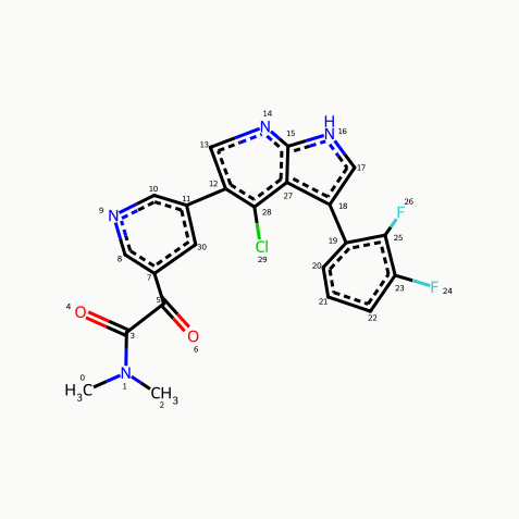 CN(C)C(=O)C(=O)c1cncc(-c2cnc3[nH]cc(-c4cccc(F)c4F)c3c2Cl)c1